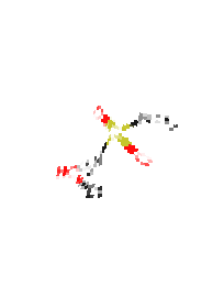 CCO.O=[N+]([O-])S(=O)(=O)[N+](=O)[O-]